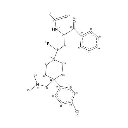 CC(=O)NC(CC(F)N1CCC(CN(C)C)(c2ccc(Cl)cc2)CC1)C(=O)c1ccccc1